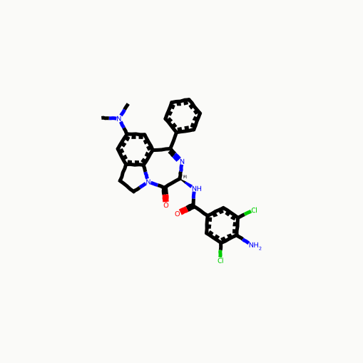 CN(C)c1cc2c3c(c1)C(c1ccccc1)=N[C@@H](NC(=O)c1cc(Cl)c(N)c(Cl)c1)C(=O)N3CC2